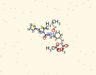 CCCOc1ccc(CC(OC(C)C)C(=O)O)cc1CNC(=O)c1nc(-c2cccs2)sc1C